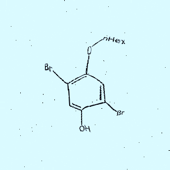 CCCCCCOc1cc(Br)c(O)cc1Br